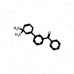 CC1(C)C=CCC(c2cccc(C(=O)c3ccccc3)c2)=C1